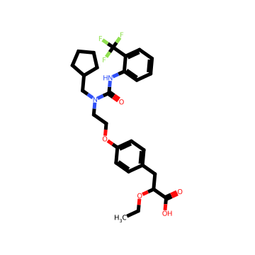 CCOC(Cc1ccc(OCCN(CC2CCCC2)C(=O)Nc2ccccc2C(F)(F)F)cc1)C(=O)O